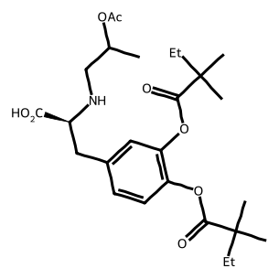 CCC(C)(C)C(=O)Oc1ccc(C[C@H](NCC(C)OC(C)=O)C(=O)O)cc1OC(=O)C(C)(C)CC